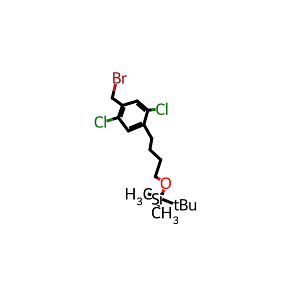 CC(C)(C)[Si](C)(C)OCCCCc1cc(Cl)c(CBr)cc1Cl